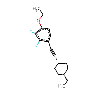 CCOc1ccc(C#C[C@H]2CC[C@H](CC)CC2)c(F)c1F